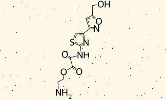 NCCOC(=O)C(=O)Nc1nc(-c2cc(CO)on2)cs1